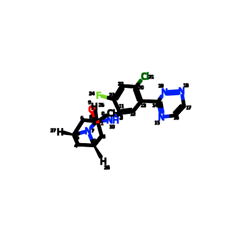 C[C@@H]1C[C@@H]2C[C@H](C1)N2C(=O)Nc1cc(-c2nccnn2)c(Cl)cc1F